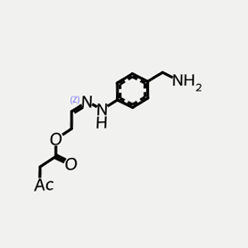 CC(=O)CC(=O)OC/C=N\Nc1ccc(CN)cc1